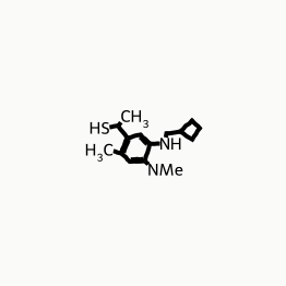 CNc1cc(C)c(C(C)S)cc1NCC1CCC1